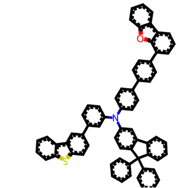 c1ccc(C2(c3ccccc3)c3ccccc3-c3cc(N(c4ccc(-c5ccc(-c6cccc7c6oc6ccccc67)cc5)cc4)c4cccc(-c5ccc6sc7ccccc7c6c5)c4)ccc32)cc1